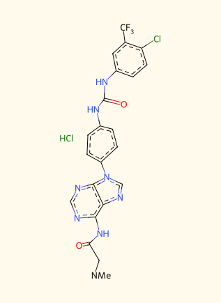 CNCC(=O)Nc1ncnc2c1ncn2-c1ccc(NC(=O)Nc2ccc(Cl)c(C(F)(F)F)c2)cc1.Cl